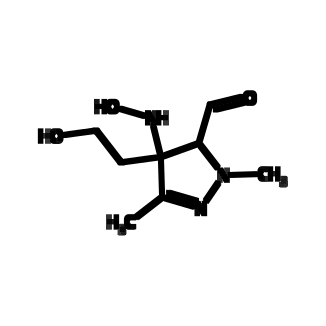 CC1=NN(C)C(C=O)C1(CCO)NO